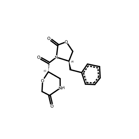 O=C1CO[C@H](C(=O)N2C(=O)OC[C@H]2Cc2ccccc2)CN1